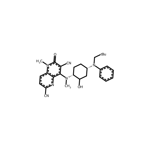 CN(c1c(C#N)c(=O)n(C)c2ccc(C#N)nc12)[C@@H]1CC[C@H](N(CC(C)(C)C)c2ccccc2)CC1O